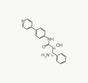 N[C@@H](c1ccccc1)[C@@H](O)C(=O)Nc1ccc(-c2ccncc2)cc1